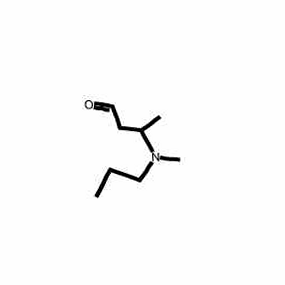 CCCN(C)C(C)CC=O